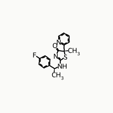 C[C@H](NC1=NC(=O)[C@](C)(c2ccccn2)S1)c1ccc(F)cc1